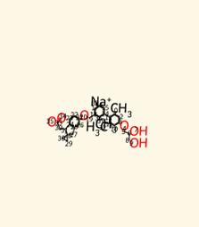 Cc1cc(OC[C@H](O)CO)cc(C)c1-c1cccc(COc2ccc3c(c2)CC2(CC2)C3CC(=O)[O-])c1C.[Na+]